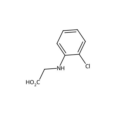 O=C(O)CNc1ccccc1Cl